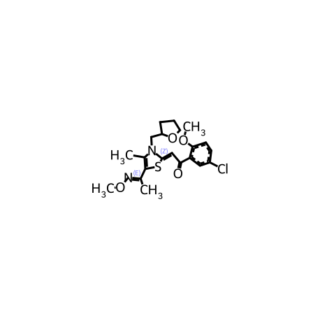 CO/N=C(\C)C1=C(C)N(CC2CCCO2)/C(=C/C(=O)c2cc(Cl)ccc2OC)S1